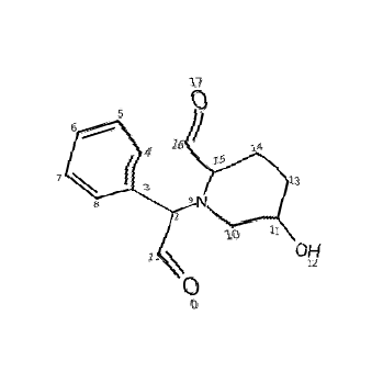 O=[C]C(c1ccccc1)N1CC(O)CCC1C=O